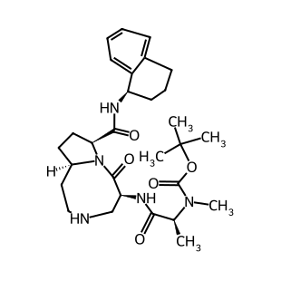 C[C@@H](C(=O)N[C@H]1CNCC[C@H]2CC[C@@H](C(=O)N[C@@H]3CCCc4ccccc43)N2C1=O)N(C)C(=O)OC(C)(C)C